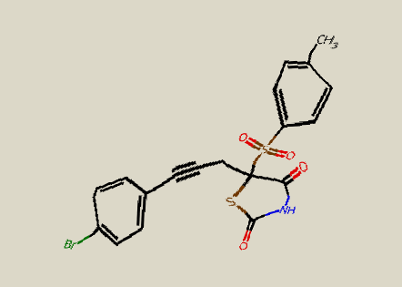 Cc1ccc(S(=O)(=O)C2(CC#Cc3ccc(Br)cc3)SC(=O)NC2=O)cc1